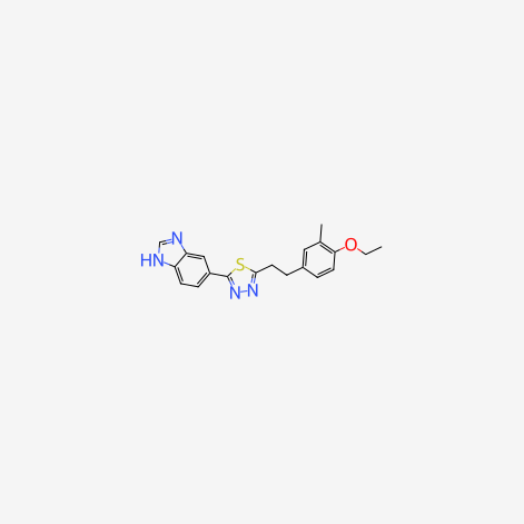 CCOc1ccc(CCc2nnc(-c3ccc4[nH]cnc4c3)s2)cc1C